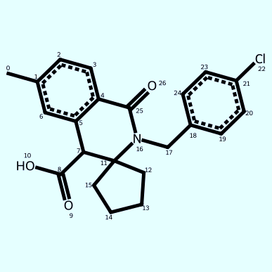 Cc1ccc2c(c1)C(C(=O)O)C1(CCCC1)N(Cc1ccc(Cl)cc1)C2=O